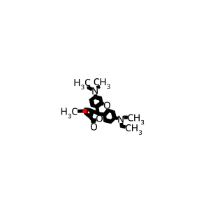 CCN(CC)c1ccc2c(c1)Oc1cc(N(CC)CC)ccc1C21OC(=O)c2cc(C)ccc21